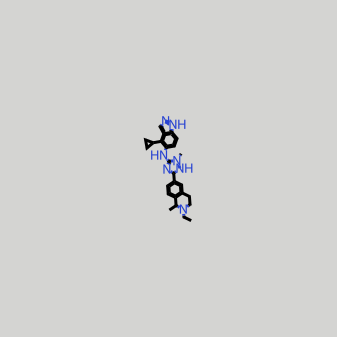 CCN1CCc2cc(C3N=C(Nc4ccc5[nH]ncc5c4C4CC4)N(C)N3)ccc2C1C